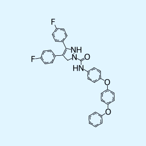 O=C(Nc1ccc(Oc2ccc(Oc3ccccc3)cc2)cc1)N1CC(c2ccc(F)cc2)=C(c2ccc(F)cc2)N1